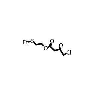 CCSCCOC(=O)CC(=O)CCl